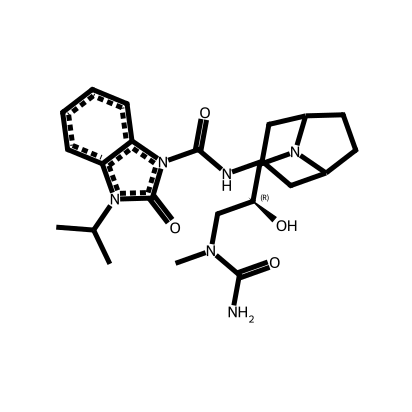 CC(C)n1c(=O)n(C(=O)NC2CC3CCC(C2)N3C[C@@H](O)CN(C)C(N)=O)c2ccccc21